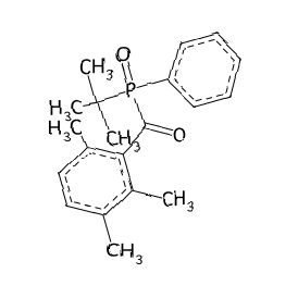 Cc1ccc(C)c(C(=O)P(=O)(c2ccccc2)C(C)(C)C)c1C